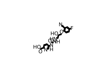 N#Cc1cc(F)ccc1OCC(O)CNNC(=O)Nc1ccc(C(=O)O)nc1